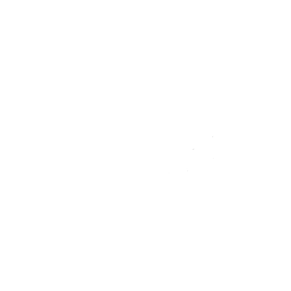 O=C(O)C1(c2ccc(OC3CCCCCC3)cc2)CC1(Cl)Cl